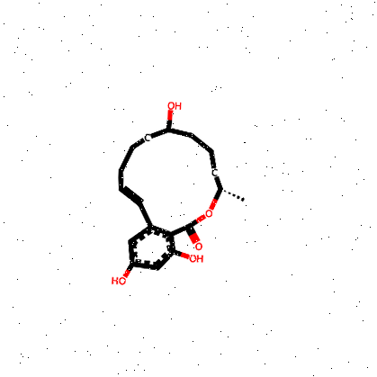 C[C@H]1CCCC(O)CCC/C=C/c2cc(O)cc(O)c2C(=O)O1